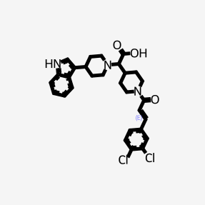 O=C(O)C(C1CCN(C(=O)/C=C/c2ccc(Cl)c(Cl)c2)CC1)N1CCC(c2c[nH]c3ccccc23)CC1